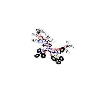 CC[C@H](C)[C@H](NC(=O)[C@H](COC(C)(C)C)NC(=O)[C@H](C)N)C(=O)N1CCC[C@H]1C(=O)N1CCC[C@H]1C(=O)N[C@@H](CCC(=O)NC(c1ccccc1)(c1ccccc1)c1ccccc1)C(=O)N[C@@H](CSC(c1ccccc1)(c1ccccc1)c1ccccc1)C(=O)N[C@@H](Cc1ccc(OC(C)(C)C)cc1)C(=O)O